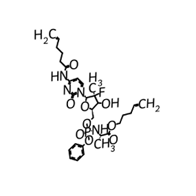 C=CCCCOC(=O)[C@H](C)N[P@](=O)(OC[C@H]1O[C@@H](n2ccc(NC(=O)CCCC=C)nc2=O)[C@@](C)(F)C1O)Oc1ccccc1